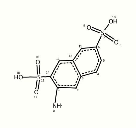 [NH]c1cc2ccc(S(=O)(=O)O)cc2cc1S(=O)(=O)O